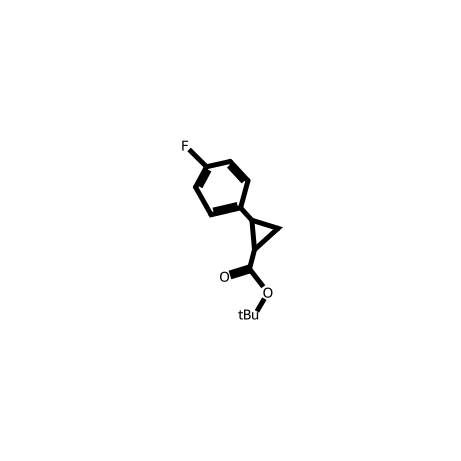 CC(C)(C)OC(=O)C1CC1c1ccc(F)cc1